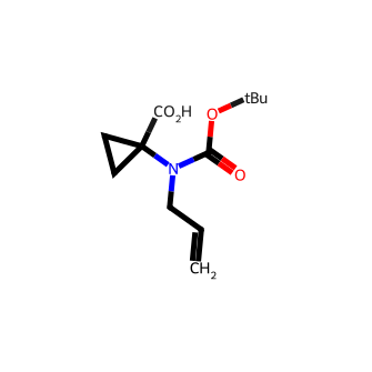 C=CCN(C(=O)OC(C)(C)C)C1(C(=O)O)CC1